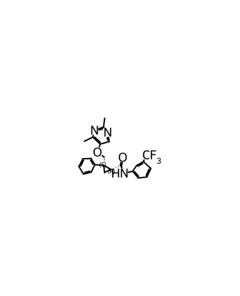 Cc1ncc(OC[C@@]2(c3ccccc3)C[C@H]2C(=O)Nc2cccc(C(F)(F)F)c2)c(C)n1